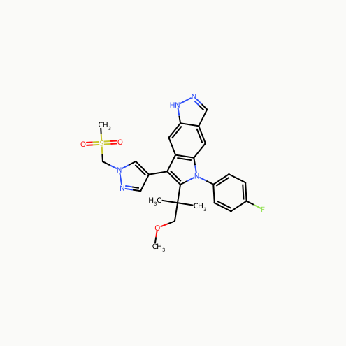 COCC(C)(C)c1c(-c2cnn(CS(C)(=O)=O)c2)c2cc3[nH]ncc3cc2n1-c1ccc(F)cc1